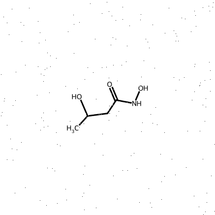 CC(O)[CH]C(=O)NO